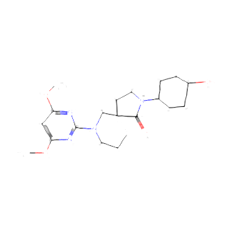 COc1cc(OC)nc(N2CCC[C@@]3(CCN(C4CCC(O)CC4)C3=O)C2)n1